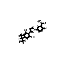 Cc1cc2c(c(C)c1-c1ccn(-c3ccc(Cl)c(C(=O)O)c3)n1)C(F)(F)C2(F)C(F)(F)F